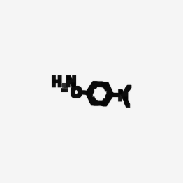 CN(C)c1ccc(ON)cc1